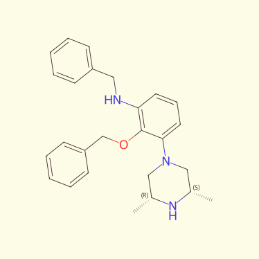 C[C@@H]1CN(c2cccc(NCc3ccccc3)c2OCc2ccccc2)C[C@H](C)N1